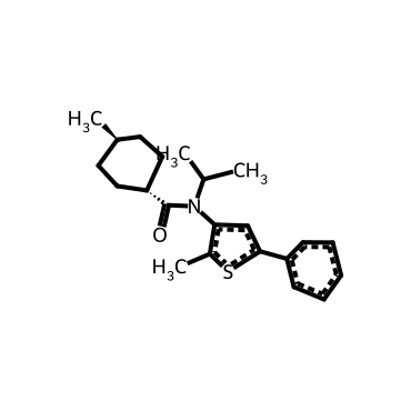 Cc1sc(-c2ccccc2)cc1N(C(=O)[C@H]1CC[C@H](C)CC1)C(C)C